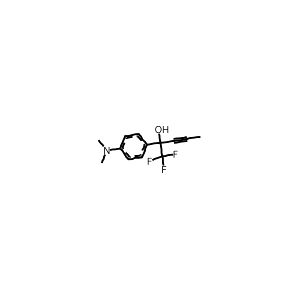 CC#CC(O)(c1ccc(N(C)C)cc1)C(F)(F)F